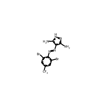 Nc1n[nH]c(N)c1N=Nc1c(Br)cc(C(F)(F)F)cc1Br